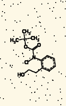 CC(C)(C)OC(=O)N(Cl)c1ccccc1CCO